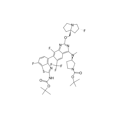 CN(c1nc(OC[C@@]23CCCN2C[C@H](F)C3)nc2c(F)c(-c3ccc(F)c4sc(NC(=O)OC(C)(C)C)nc34)c(C(F)(F)F)cc12)[C@@H]1CCN(C(=O)OC(C)(C)C)C1